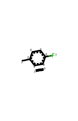 C=C.Cc1ccc(F)cc1